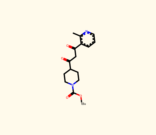 Cc1ncccc1C(=O)CC(=O)C1CCN(C(=O)OC(C)(C)C)CC1